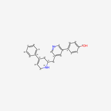 Oc1ccc(-c2cncc(CC3CC(c4ccccc4)=CCN3)c2)cc1